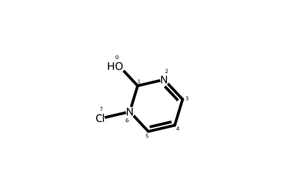 OC1N=CC=CN1Cl